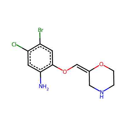 Nc1cc(Cl)c(Br)cc1OC=C1CNCCO1